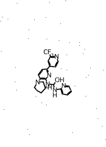 OC(Nc1ccccn1)N1c2nc(-c3ccnc(C(F)(F)F)c3)ccc2N2CCC[C@H]1C2